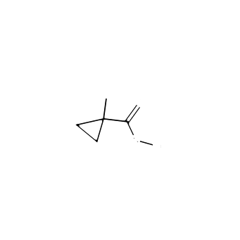 CCNC(=S)C1(C)CC1